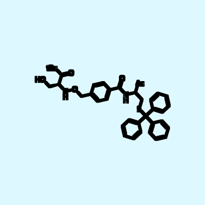 CC(=O)C(CSC(c1ccccc1)(c1ccccc1)c1ccccc1)NC(=O)c1ccc(CON[C@@H](CO)C(=O)C(C)(C)C)cc1